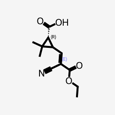 CCOC(=O)/C(C#N)=C/C1[C@@H](C(=O)O)C1(C)C